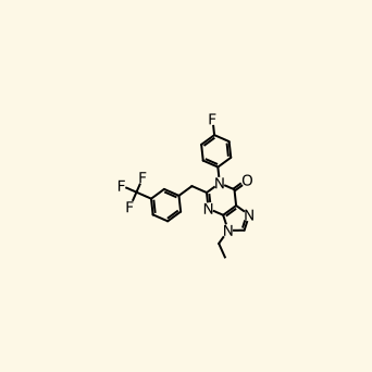 CCn1cnc2c(=O)n(-c3ccc(F)cc3)c(Cc3cccc(C(F)(F)F)c3)nc21